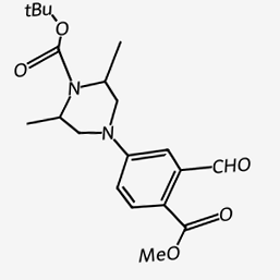 COC(=O)c1ccc(N2CC(C)N(C(=O)OC(C)(C)C)C(C)C2)cc1C=O